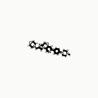 CN1CCN(c2ccc(-c3cc4c(cn3)-n3cc(CN5CCOCC5)nc3CO4)cc2)CC1